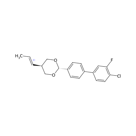 C/C=C/[C@H]1CO[C@H](c2ccc(-c3ccc(Cl)c(F)c3)cc2)OC1